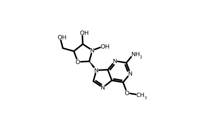 COc1nc(N)nc2c1ncn2[C@H]1OC(CO)C(O)N1O